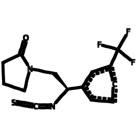 O=C1CCCN1C[C@H](N=C=S)c1cccc(C(F)(F)F)c1